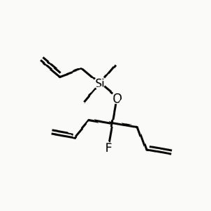 C=CCC(F)(CC=C)O[Si](C)(C)CC=C